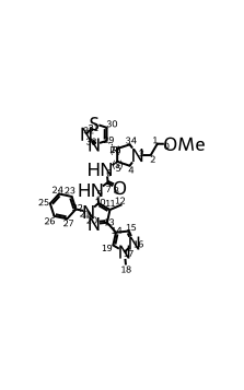 COCCN1C[C@@H](NC(=O)Nc2c(C)c(-c3cnn(C)c3)nn2-c2ccccc2)[C@H](c2csnn2)C1